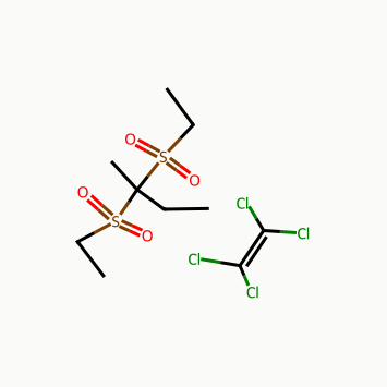 CCC(C)(S(=O)(=O)CC)S(=O)(=O)CC.ClC(Cl)=C(Cl)Cl